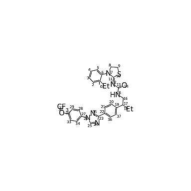 CCc1ccccc1N1CCS/C1=N\C(=O)NCC(CC)c1ccc(-c2ncn(-c3ccc(OC(F)(F)F)cc3)n2)cc1